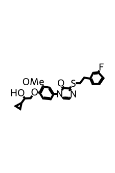 COc1cc(-n2ccnc(SCCc3cccc(F)c3)c2=O)ccc1OCC(O)C1CC1